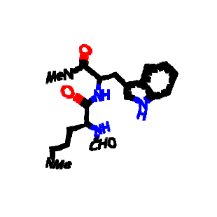 CNCCC[C@H](NC=O)C(=O)NC(Cc1c[nH]c2ccccc12)C(=O)NC